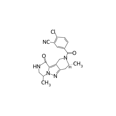 CC1CNC(=O)c2c3c(nn21)C[C@@H](C)N(C(=O)c1ccc(Cl)c(C#N)c1)C3